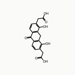 O=C(O)Cc1ccc2c(c1O)Cc1c(ccc(CC(=O)O)c1O)C2=O